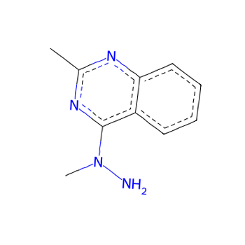 Cc1nc(N(C)N)c2ccccc2n1